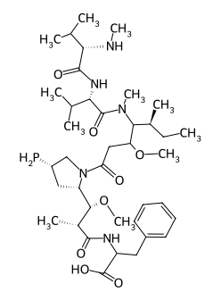 CC[C@H](C)C(C(CC(=O)N1C[C@@H](P)C[C@H]1[C@H](OC)[C@@H](C)C(=O)NC(Cc1ccccc1)C(=O)O)OC)N(C)C(=O)[C@@H](NC(=O)[C@@H](NC)C(C)C)C(C)C